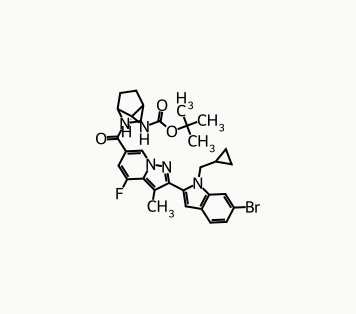 Cc1c(-c2cc3ccc(Br)cc3n2CC2CC2)nn2cc(C(=O)N3CC4CCC3[C@@H]4NC(=O)OC(C)(C)C)cc(F)c12